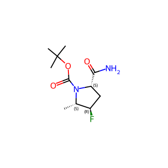 C[C@H]1[C@H](F)C[C@@H](C(N)=O)N1C(=O)OC(C)(C)C